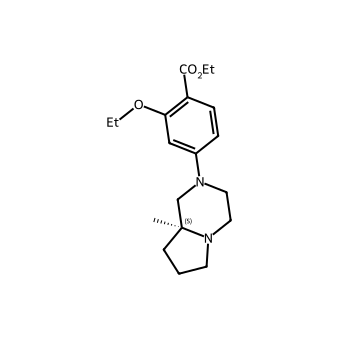 CCOC(=O)c1ccc(N2CCN3CCC[C@@]3(C)C2)cc1OCC